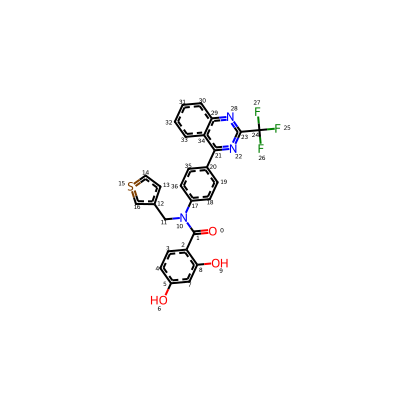 O=C(c1ccc(O)cc1O)N(Cc1ccsc1)c1ccc(-c2nc(C(F)(F)F)nc3ccccc23)cc1